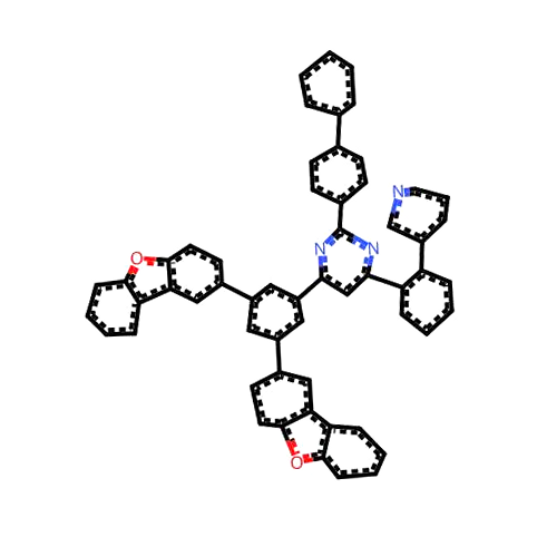 c1ccc(-c2ccc(-c3nc(-c4cc(-c5ccc6oc7ccccc7c6c5)cc(-c5ccc6oc7ccccc7c6c5)c4)cc(-c4ccccc4-c4cccnc4)n3)cc2)cc1